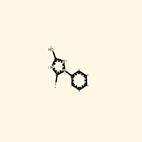 Oc1nc(I)n(-c2ccccc2)n1